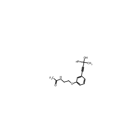 CCCC(C)(O)C#Cc1cccc(OCCNC(=O)C(F)(F)F)c1